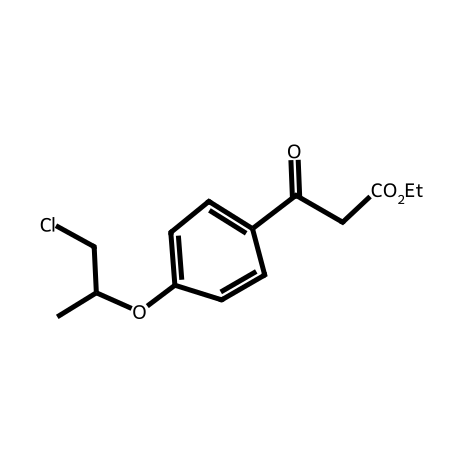 CCOC(=O)CC(=O)c1ccc(OC(C)CCl)cc1